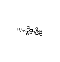 C=COC(Br)[C@H]1O[C@@H](n2ccc(=O)[nH]c2=O)C[C@@H]1Cl